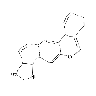 C1=CC2=COC3=CC4C(C=CC5NCNC54)C=C3C2C=C1